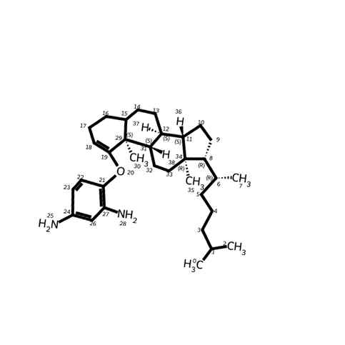 CC(C)CCC[C@@H](C)[C@H]1CC[C@H]2[C@@H]3CCC4CCC=C(Oc5ccc(N)cc5N)[C@]4(C)[C@H]3CC[C@]12C